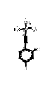 CCc1cc(I)ccc1C#C[Si](C)(C)C